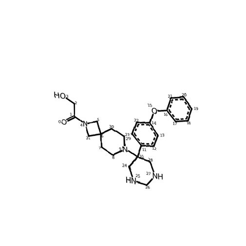 O=C(CO)N1CC2(CCN(C3(c4ccc(Oc5ccccc5)cc4)CNCNC3)CC2)C1